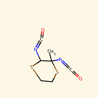 CC1(N=C=O)SCCSC1N=C=O